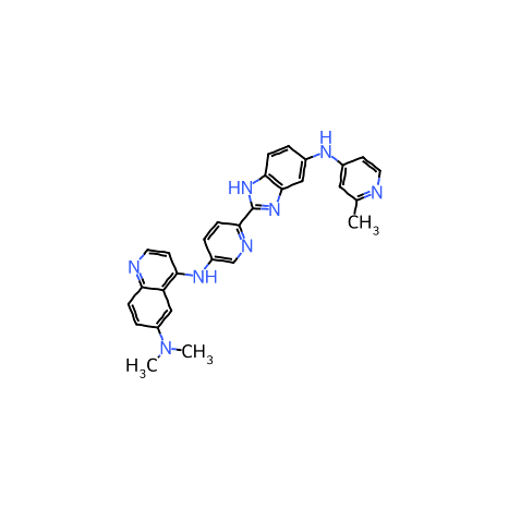 Cc1cc(Nc2ccc3[nH]c(-c4ccc(Nc5ccnc6ccc(N(C)C)cc56)cn4)nc3c2)ccn1